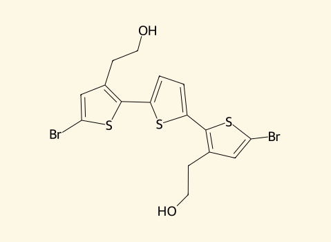 OCCc1cc(Br)sc1-c1ccc(-c2sc(Br)cc2CCO)s1